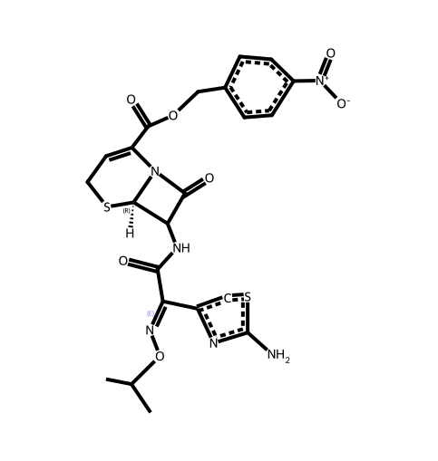 CC(C)O/N=C(/C(=O)NC1C(=O)N2C(C(=O)OCc3ccc([N+](=O)[O-])cc3)=CCS[C@H]12)c1csc(N)n1